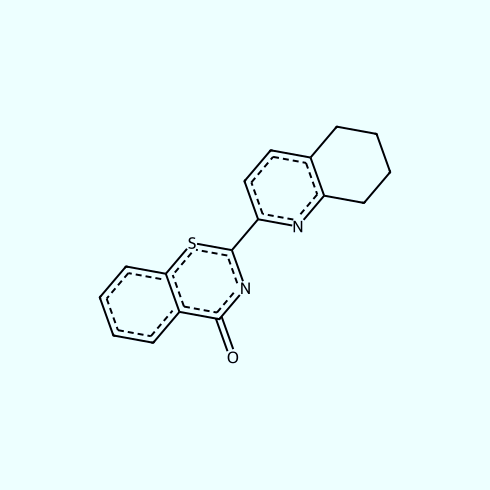 O=c1nc(-c2ccc3c(n2)CCCC3)sc2ccccc12